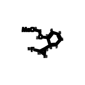 COCOc1ccccc1C1CC1F